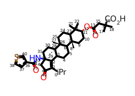 CC(C)C1=C2C3CCC4[C@@]5(C)CC[C@H](OC(=O)CC(C)(C)C(=O)O)C(C)(C)C5CC[C@@]4(C)[C@]3(C)CC[C@@]2(NC(=O)c2ccsc2)CC1=O